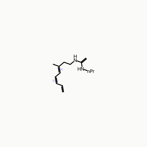 C=C/C=C\C=C(/C)CCNC(=C)NCCC